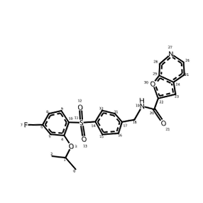 CC(C)Oc1cc(F)ccc1S(=O)(=O)c1ccc(CNC(=O)c2cc3ccncc3o2)cc1